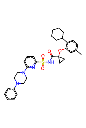 Cc1ccc(C2CCCCC2)c(OC2(C(=O)NS(=O)(=O)c3cccc(N4CCN(c5ccccc5)CC4)n3)CC2)c1